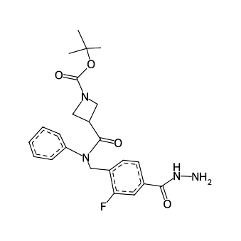 CC(C)(C)OC(=O)N1CC(C(=O)N(Cc2ccc(C(=O)NN)cc2F)c2ccccc2)C1